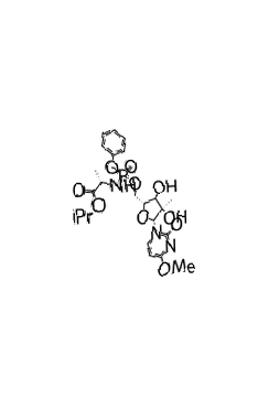 COc1ccn([C@@H]2O[C@H](CO[P@@](=O)(N[C@@H](C)C(=O)OC(C)C)Oc3ccccc3)[C@@H](O)[C@@]2(C)O)c(=O)n1